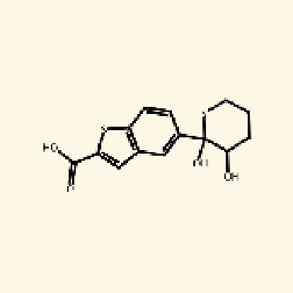 O=C(O)c1cc2cc(C3(O)SCCCC3O)ccc2s1